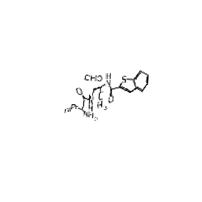 CCCC(N)C(=O)NC[C@@](C)(C=O)NC(=O)c1cc2ccccc2s1